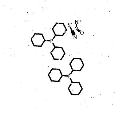 C1CCC(P(C2CCCCC2)C2CCCCC2)CC1.C1CCC(P(C2CCCCC2)C2CCCCC2)CC1.N#C[S-].O=[N][Ni+]